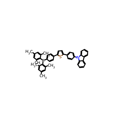 Cc1cc(C)c(B(c2ccc(-c3ccc(-c4ccc(-n5c6ccccc6c6ccccc65)cc4)s3)cc2)c2c(C)cc(C)cc2C)c(C)c1